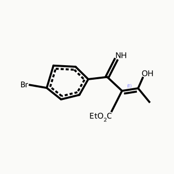 CCOC(=O)/C(C(=N)c1ccc(Br)cc1)=C(\C)O